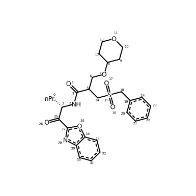 CCC[C@H](NC(=O)C(COC1CCOCC1)CS(=O)(=O)Cc1ccccc1)C(=O)c1nc2ccccc2o1